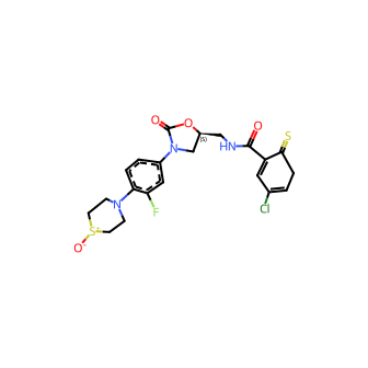 O=C(NC[C@H]1CN(c2ccc(N3CC[S+]([O-])CC3)c(F)c2)C(=O)O1)C1=CC(Cl)=CCC1=S